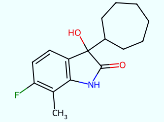 Cc1c(F)ccc2c1NC(=O)C2(O)C1CCCCCC1